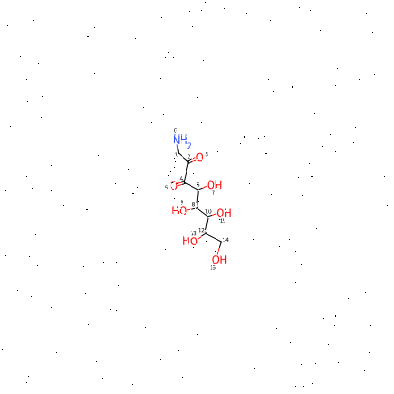 NCC(=O)C(=O)C(O)C(O)C(O)C(O)CO